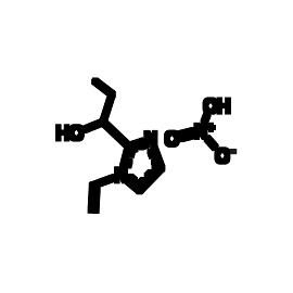 C=Cn1ccnc1C(O)CC.O=[N+]([O-])O